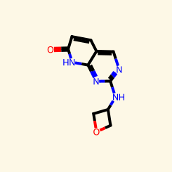 O=c1ccc2cnc(NC3COC3)nc2[nH]1